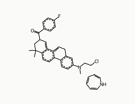 C1=CC=CNC=C1.CN(CCCl)c1ccc2c(c1)CC=c1c-2ccc2c1=CC(C(=O)c1ccc(F)cc1)CC2(C)C